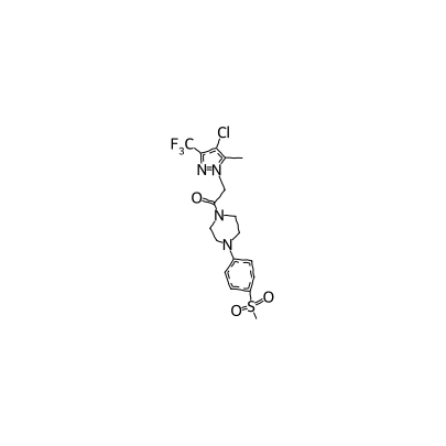 Cc1c(Cl)c(C(F)(F)F)nn1CC(=O)N1CCN(c2ccc(S(C)(=O)=O)cc2)CC1